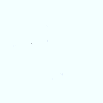 CC(C)c1ccc2nc(-c3ccc(F)cc3)n(C3C=c4cn[nH]c4=CC3)c2n1